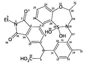 CCN1C(=O)c2ccc(C(CC(=O)O)c3ccc(C)c(CN4CC(C)Oc5ccccc5S4(O)O)c3)cc2C1=O